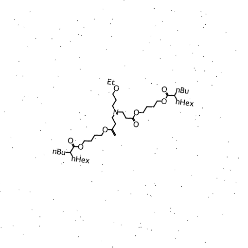 C=C(CCN(CCCOCC)CCC(=O)OCCCCOC(=O)C(CCCC)CCCCCC)OCCCCOC(=O)C(CCCC)CCCCCC